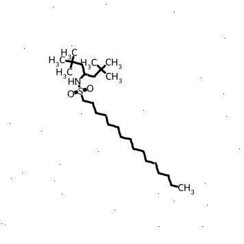 CCCCCCCCCCCCCCCCS(=O)(=O)NC(CC(C)(C)C)CC(C)(C)C